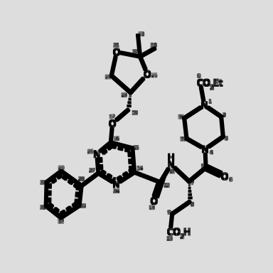 CCOC(=O)N1CCN(C(=O)[C@H](CCC(=O)O)NC(=O)c2cc(OC[C@@H]3COC(C)(C)O3)nc(-c3ccccc3)n2)CC1